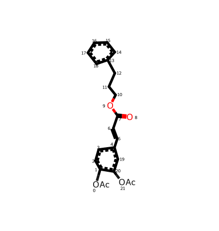 CC(=O)Oc1ccc(/C=C/C(=O)OCCCc2ccccc2)cc1OC(C)=O